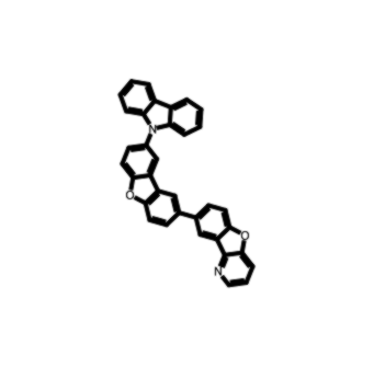 c1cnc2c(c1)oc1ccc(-c3ccc4oc5ccc(-n6c7ccccc7c7ccccc76)cc5c4c3)cc12